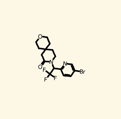 O=C1CC2(CCOCC2)CCN1C(c1ccc(Br)cn1)C(F)(F)F